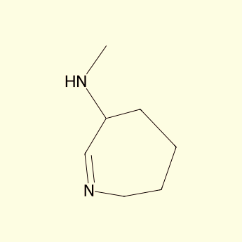 CNC1C=NCCCC1